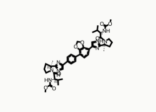 COC(=O)N[C@H](C(=O)N1CCC[C@@]1(C)c1nc(-c2ccc(-c3ccc(-c4c[nH]c([C@]5(C)CCCN5C(=O)[C@@H](NC(=O)OC)C(C)C)n4)c4c3OCO4)cc2)c[nH]1)C(C)C